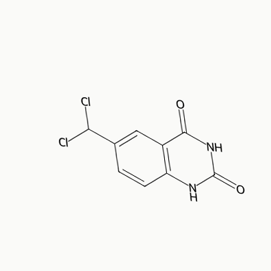 O=c1[nH]c(=O)c2cc(C(Cl)Cl)ccc2[nH]1